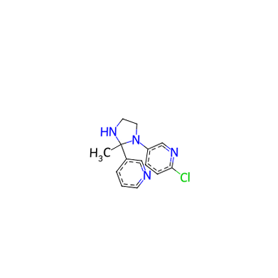 CC1(c2cccnc2)NCCN1c1ccc(Cl)nc1